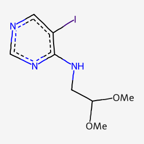 COC(CNc1ncncc1I)OC